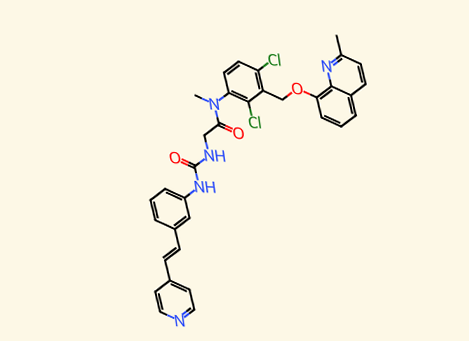 Cc1ccc2cccc(OCc3c(Cl)ccc(N(C)C(=O)CNC(=O)Nc4cccc(C=Cc5ccncc5)c4)c3Cl)c2n1